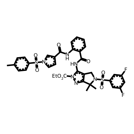 CCOC(=O)n1nc2c(c1NC(=O)c1ccccc1NC(=O)c1ccn(S(=O)(=O)c3ccc(C)cc3)c1)CN(S(=O)(=O)c1cc(F)cc(F)c1)C2(C)C